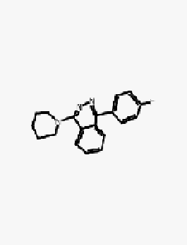 Fc1ccc(-c2nnc(N3CCCCC3)c3ccccc23)cc1